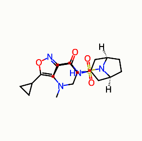 CN1CCC[C@H](S(=O)(=O)N2[C@@H]3CC[C@H]2C[C@@H](NC(=O)c2cc(C4CC4)on2)C3)C1